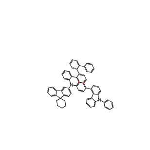 c1ccc(-c2ccccc2-c2ccccc2-c2ccccc2N(c2ccc(-c3cccc4c3c3ccccc3n4-c3ccccc3)cc2)c2ccc3c(c2)-c2ccccc2C32CCCCC2)cc1